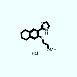 COCCOc1cc2c(cc1C1=NCCN1)CCCC2.Cl